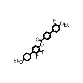 CCOc1ccc(-c2ccc(C(=O)Oc3ccc(C4CCC(OCC)CC4)c(F)c3F)cc2)cc1F